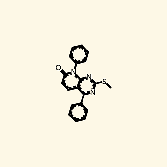 CSc1nc(-c2ccccc2)c2ccc(=O)n(-c3ccccc3)c2n1